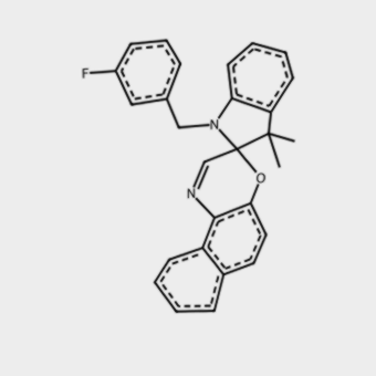 CC1(C)c2ccccc2N(Cc2cccc(F)c2)C12C=Nc1c(ccc3ccccc13)O2